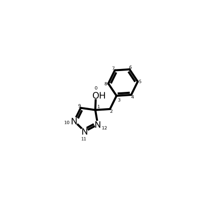 OC1(Cc2ccccc2)C=NN=N1